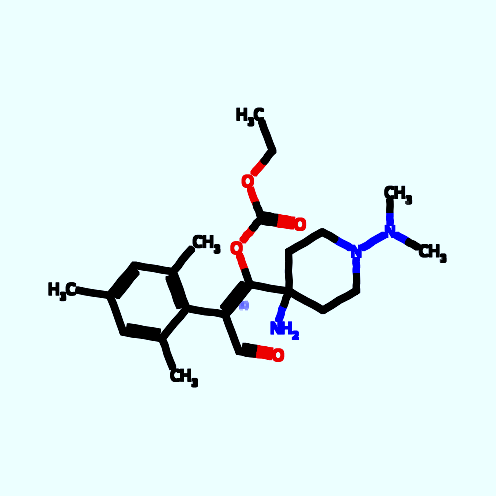 CCOC(=O)O/C(=C(/C=O)c1c(C)cc(C)cc1C)C1(N)CCN(N(C)C)CC1